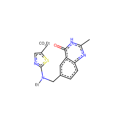 CCOC(=O)c1cnc(N(CC)Cc2ccc3nc(C)[nH]c(=O)c3c2)s1